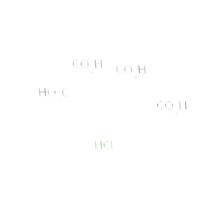 Cl.O=C(O)C1(C(=O)O)CCC1(C(=O)O)C(=O)O